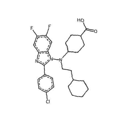 O=C(O)C1CCC(N(CCC2CCCCC2)n2c(-c3ccc(Cl)cc3)nc3cc(F)c(F)cc32)CC1